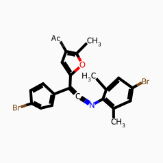 CC(=O)c1cc(C(=C=Nc2c(C)cc(Br)cc2C)c2ccc(Br)cc2)oc1C